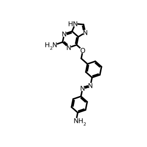 Nc1ccc(N=Nc2cccc(COc3nc(N)nc4[nH]cnc34)c2)cc1